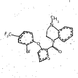 CN1CCN(C(=O)c2sccc2Oc2ccc(C(F)(F)F)cc2Br)c2ccccc21